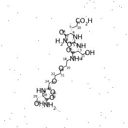 C[C@H](O)[C@@H](NC(=O)N[C@@H](CCC(=O)O)C(N)=O)C(=O)NCCOCCOCC(=O)N[C@@H](CO)C(N)=O